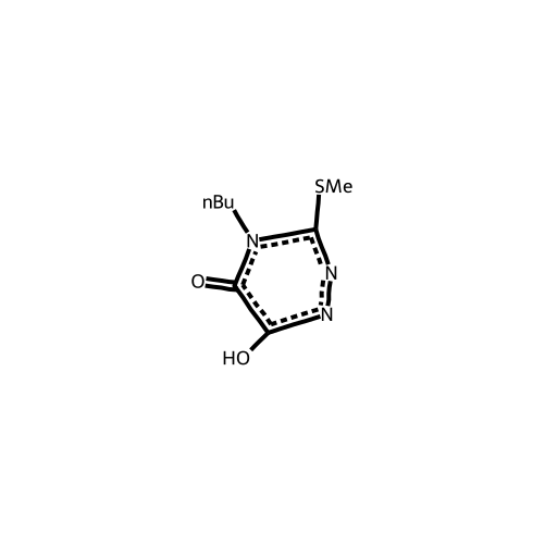 [CH2]Sc1nnc(O)c(=O)n1CCCC